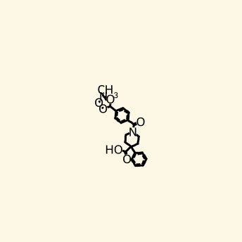 CN1OOC(c2ccc(C(=O)N3CCC(C(=O)O)(c4ccccc4)CC3)cc2)O1